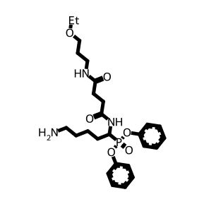 CCOCCCNC(=O)CCC(=O)NC(CCCCN)P(=O)(Oc1ccccc1)Oc1ccccc1